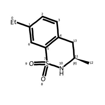 CCc1ccc2c(c1)S(=O)(=O)N[C@H](C)C2